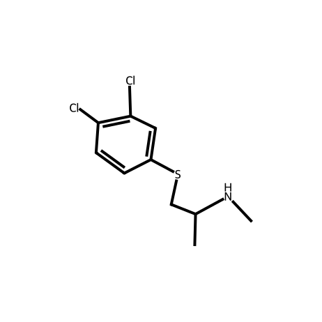 CNC(C)CSc1ccc(Cl)c(Cl)c1